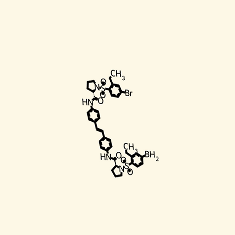 Bc1ccc(S(=O)(=O)N2CCC[C@H]2C(=O)Nc2ccc(/C=C/c3ccc(NC(=O)[C@@H]4CCCN4S(=O)(=O)c4ccc(Br)cc4CC)cc3)cc2)c(CC)c1